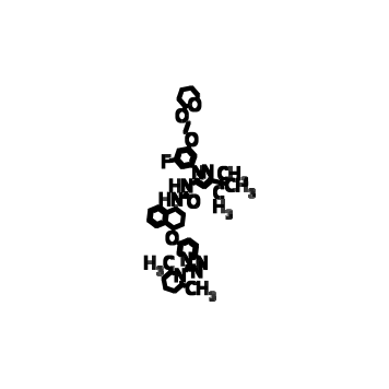 CC1CCCC(C)N1c1nnc2ccc(O[C@@H]3CC[C@H](NC(=O)Nc4cc(C(C)(C)C)nn4-c4cc(F)cc(OCCOC5CCCCO5)c4)c4ccccc43)cn12